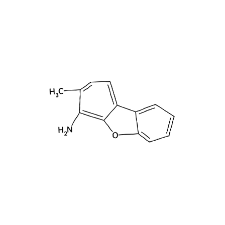 Cc1ccc2c(oc3ccccc32)c1N